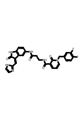 O=C(CCNC(=O)c1cccn(Cc2ccc(F)c(F)c2)c1=O)Nc1ccc2c(c1)C(=Cc1ncc[nH]1)C(=O)N2